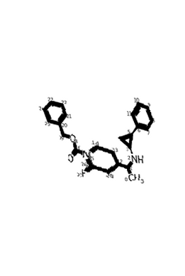 CC(N[C@@H]1C[C@H]1c1ccccc1)C1CCN(C(=O)OCc2ccccc2)C(F)C1